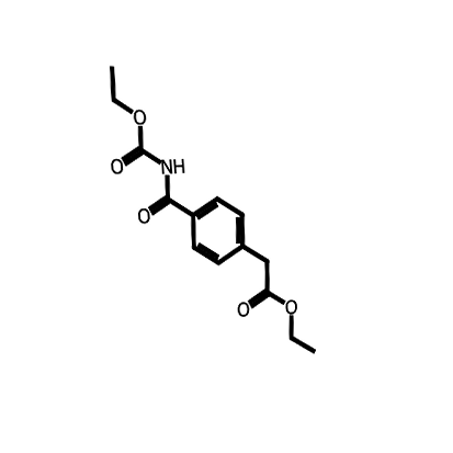 CCOC(=O)Cc1ccc(C(=O)NC(=O)OCC)cc1